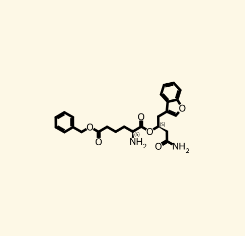 NC(=O)C[C@H](Cc1coc2ccccc12)OC(=O)[C@@H](N)CCCC(=O)OCc1ccccc1